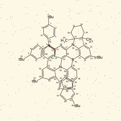 CC(C)(C)c1ccc(N(c2ccc(C(C)(C)C)cc2)c2cc3c4c(c2)N2c5c(cc(C(C)(C)C)cc5C5(C)CCCCC25C)B4c2ccc4c(sc5ccc(C(C)(C)C)cc54)c2N3c2c(-c3ccccc3)cc(C(C)(C)C)cc2-c2ccccc2)cc1